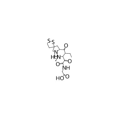 CCC(C(=O)C1CC2(CCSS2)CN1)C(N)C(=O)C(=O)NCC(=O)O